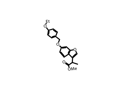 CCOc1ccc(COc2ccc3c(C(C)C(=O)OC)coc3c2)cc1